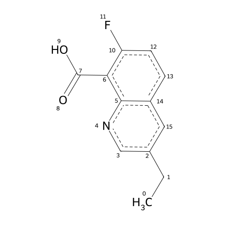 CCc1cnc2c(C(=O)O)c(F)ccc2c1